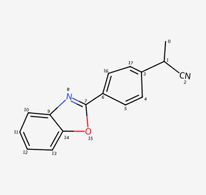 CC(C#N)c1ccc(-c2nc3ccccc3o2)cc1